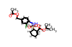 CC(=O)OCc1ccc(NS(=O)(=O)C2CCCC=C2C(=O)OC(C)C)c(F)c1